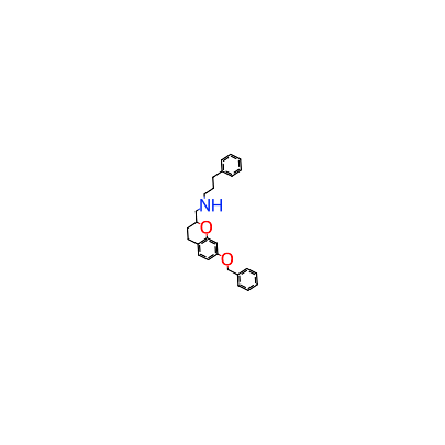 c1ccc(CCCNCC2CCc3ccc(OCc4ccccc4)cc3O2)cc1